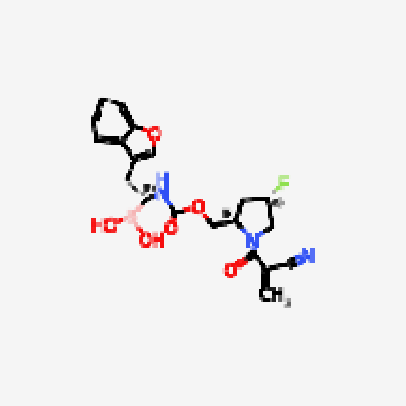 C=C(C#N)C(=O)N1C[C@@H](F)C[C@@H]1COC(=O)N[C@@H](Cc1coc2ccccc12)B(O)O